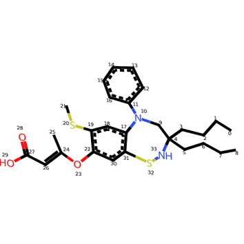 CCCCC1(CCCC)CN(c2ccccc2)c2cc(SC)c(O/C(C)=C/C(=O)O)cc2SN1